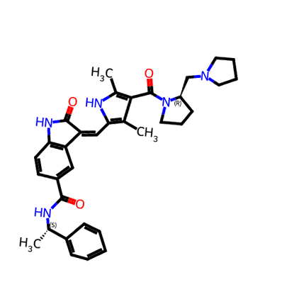 Cc1[nH]c(C=C2C(=O)Nc3ccc(C(=O)N[C@@H](C)c4ccccc4)cc32)c(C)c1C(=O)N1CCC[C@@H]1CN1CCCC1